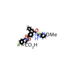 COc1ccc2nc(NC(=O)C(CC3CCCC3)c3ccc(S(=O)(=O)N(CCC(=O)O)Cc4ccc(F)cc4)cc3)sc2n1